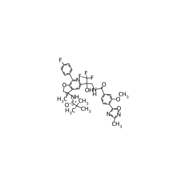 COc1cc(C(=O)NCC(O)(c2cc3c(c(-c4ccc(F)cc4)n2)OC[C@@]3(C)N[S+]([O-])C(C)(C)C)C(F)(F)F)ccc1-c1nc(C)no1